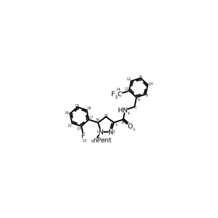 CCCCCN1N=C(C(=O)NCc2ccccc2C(F)(F)F)CC1c1ccccc1F